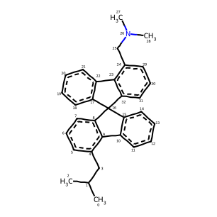 CC(C)Cc1cccc2c1-c1ccccc1C21c2ccccc2-c2c(CN(C)C)cccc21